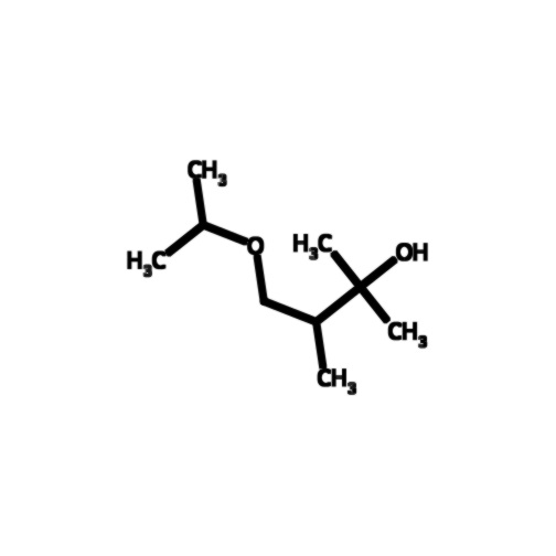 CC(C)OCC(C)C(C)(C)O